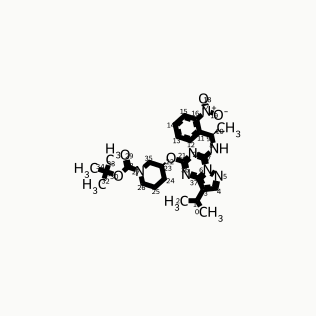 CC(C)c1cnn2c(N[C@@H](C)c3ccccc3[N+](=O)[O-])nc(O[C@@H]3CCCN(C(=O)OC(C)(C)C)C3)nc12